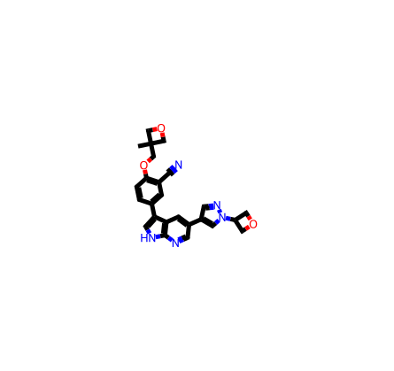 CC1(COc2ccc(-c3c[nH]c4ncc(-c5cnn(C6COC6)c5)cc34)cc2C#N)COC1